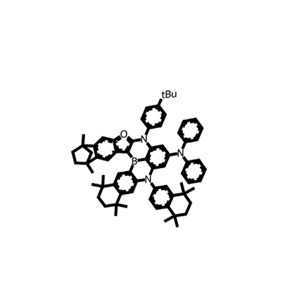 CC(C)(C)c1ccc(N2c3cc(N(c4ccccc4)c4ccccc4)cc4c3B(c3cc5c(cc3N4c3ccc4c(c3)C(C)(C)CCC4(C)C)C(C)(C)CCC5(C)C)c3c2oc2cc4c(cc32)C2(C)CCC4(C)C2)cc1